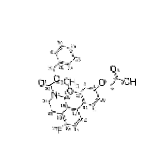 COc1cc(OCC(=O)O)ccc1-c1ccc(F)c2c1CN(C(=O)OCc1ccccc1)CC2